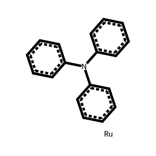 [Ru].c1ccc(N(c2ccccc2)c2ccccc2)cc1